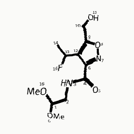 COC(CNC(=O)c1noc(CO)c1C(C)F)OC